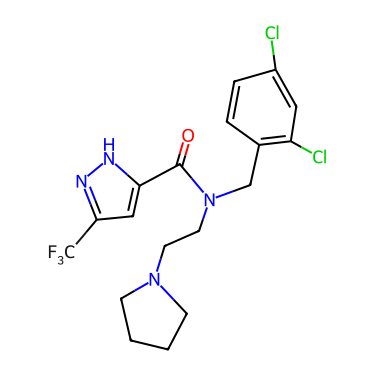 O=C(c1cc(C(F)(F)F)n[nH]1)N(CCN1CCCC1)Cc1ccc(Cl)cc1Cl